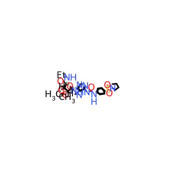 CCNC(=O)[C@H]1O[C@@H](n2cnc3c(NC(=O)Nc4ccc(S(=O)(=O)N5CCCC5)cc4)ncnc32)[C@@H]2OC(C)(C)O[C@@H]21